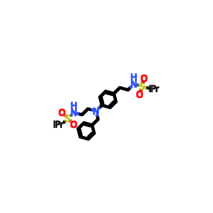 CC(C)S(=O)(=O)NCCc1ccc(N(CCNS(=O)(=O)C(C)C)Cc2ccccc2)cc1